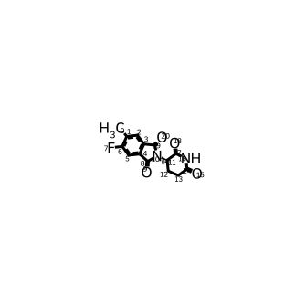 Cc1cc2c(cc1F)C(=O)N([C@@H]1CCC(=O)NC1=O)C2=O